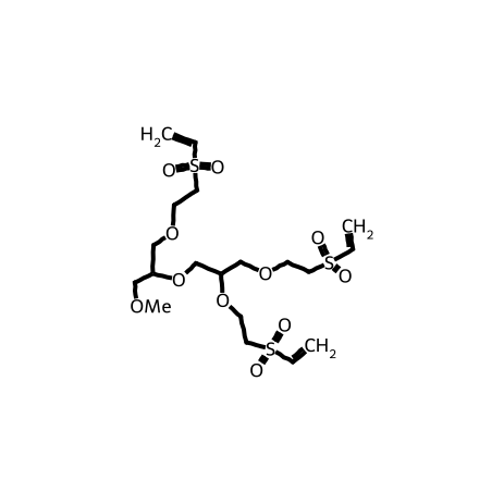 C=CS(=O)(=O)CCOCC(COC)OCC(COCCS(=O)(=O)C=C)OCCS(=O)(=O)C=C